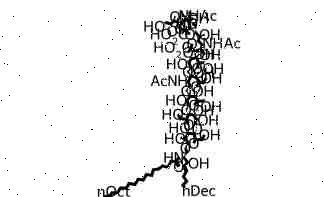 CCCCCCCC/C=C\CCCCCCCCCCCCCCCC(=O)N[C@@H](CO[C@@H]1OC(CO)[C@@H](O[C@@H]2OC(CO)[C@H](O[C@@H]3OC(CO)[C@H](O)[C@H](O[C@@H]4OC(CO)[C@H](O)[C@H](O[C@@H]5OC(CO)[C@H](O)[C@H](O[C@]6(C(=O)O)CC(O)[C@@H](NC(C)=O)C([C@H](O)[C@@H](CO)O[C@]7(C(=O)O)CC(O)[C@@H](NC(C)=O)C([C@H](O)[C@H](O)CO)O7)O6)C5O)C4NC(C)=O)C3O)[C@H](O)C2O)[C@H](O)C1O)[C@H](O)/C=C/CCCCCCCCCCCCC